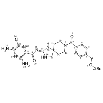 CC(C)(C)OCc1ccc(C(=O)N2CCC3(CC2)CN/C(=N\C(=O)c2nc(Cl)c(N)nc2N)N3)cc1